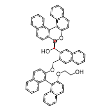 OCCOc1ccc2ccccc2c1-c1c(OCc2cc3ccccc3cc2COc2ccc3ccccc3c2-c2c(OCCO)ccc3ccccc23)ccc2ccccc12